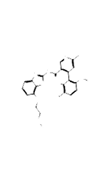 COCCOc1cccc2nc(NC(=O)c3cnc(C)cc3-c3c(OC)ccc(Cl)c3F)sc12